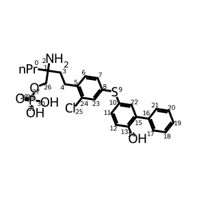 CCCC(N)(CCc1ccc(Sc2ccc(O)c(-c3ccccc3)c2)cc1Cl)COP(=O)(O)O